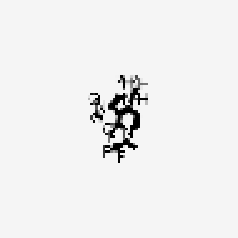 [2H]C([2H])([2H])n1cc([N+](=O)[O-])c2c(=O)n(C(C)C(F)(F)F)ccc21